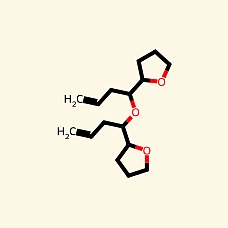 C=CCC(OC(CC=C)C1CCCO1)C1CCCO1